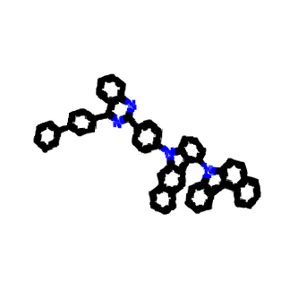 c1ccc(-c2ccc(-c3nc(-c4ccc(-n5c6cc7ccccc7cc6c6c(-n7c8ccccc8c8c9ccccc9ccc87)cccc65)cc4)nc4ccccc34)cc2)cc1